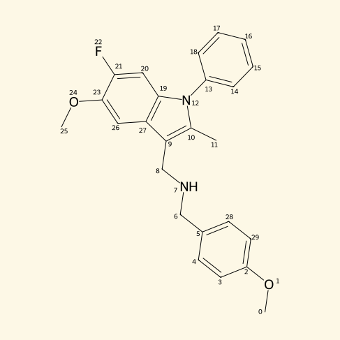 COc1ccc(CNCc2c(C)n(-c3ccccc3)c3cc(F)c(OC)cc23)cc1